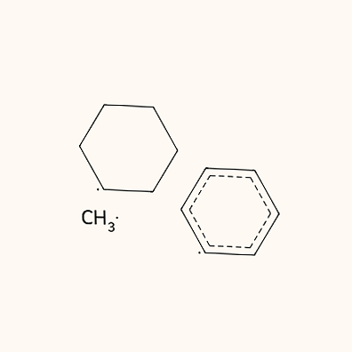 [CH3].[CH]1CCCCC1.[c]1ccccc1